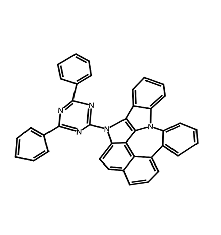 c1ccc(-c2nc(-c3ccccc3)nc(-n3c4ccc5cccc6c7ccccc7n7c8ccccc8c3c7c4c56)n2)cc1